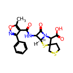 Cc1onc(-c2ccccc2)c1C(=O)NC1C(=O)N2C(C(=O)O)C3(CCSC3)S[C@@H]12